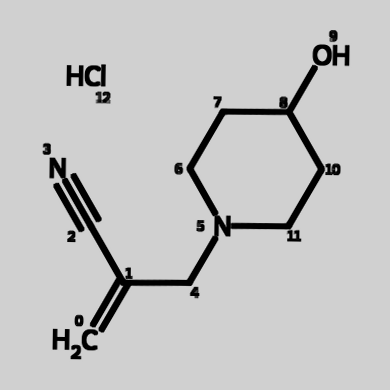 C=C(C#N)CN1CCC(O)CC1.Cl